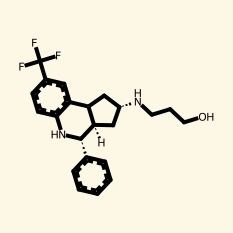 OCCCN[C@H]1CC2c3cc(C(F)(F)F)ccc3N[C@@H](c3ccccc3)[C@@H]2C1